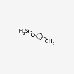 C=Cc1ccc(OC[SiH3])cc1